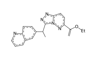 C=C(OCC)c1ccc2nnc(C(C)c3ccc4ncccc4c3)n2n1